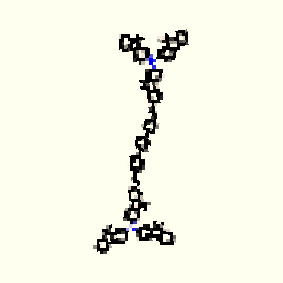 CC1(C)c2ccccc2-c2ccc(N(c3ccc4c(c3)C(C)(C)c3ccccc3-4)c3ccc4c(c3)C(C)(C)c3cc(/C=C/c5ccc(-c6ccc(-c7ccc(/C=C/c8ccc9c(c8)C(C)(C)c8cc(N(c%10ccc%11c(c%10)C(C)(C)c%10ccccc%10-%11)c%10ccc%11c(c%10)C(C)(C)c%10ccccc%10-%11)ccc8-9)cc7)cc6)cc5)ccc3-4)cc21